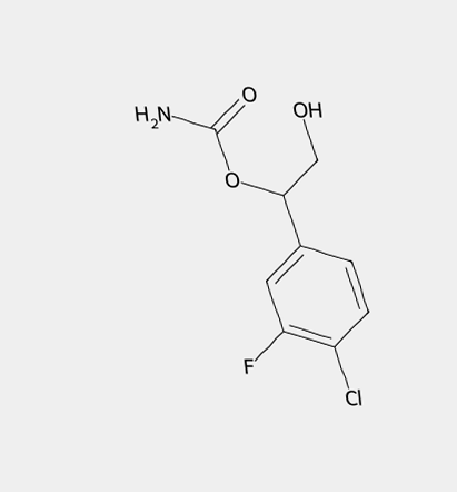 NC(=O)OC(CO)c1ccc(Cl)c(F)c1